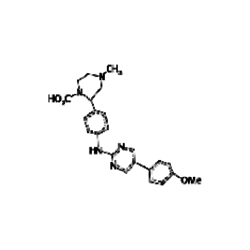 COc1ccc(-c2cnc(Nc3ccc(C4CN(C)CCN4C(=O)O)cc3)nc2)cc1